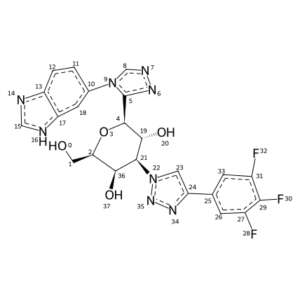 OC[C@H]1O[C@@H](c2nncn2-c2ccc3nc[nH]c3c2)[C@H](O)[C@@H](n2cc(-c3cc(F)c(F)c(F)c3)nn2)[C@H]1O